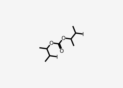 CC(I)C(C)OC(=O)OC(C)C(C)I